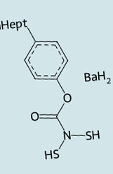 CCCCCCCc1ccc(OC(=O)N(S)S)cc1.[BaH2]